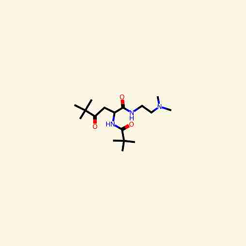 CN(C)CCNC(=O)C(CC(=O)C(C)(C)C)NC(=O)C(C)(C)C